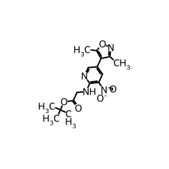 Cc1noc(C)c1-c1cnc(NCC(=O)OC(C)(C)C)c([N+](=O)[O-])c1